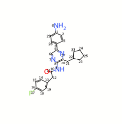 Nc1ccc(-c2cnc(NC(=O)Cc3ccc(F)cc3)c(CC3CCCC3)n2)cc1